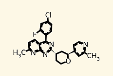 Cc1cc([C@@H]2C[C@@H](c3nc(-c4ccc(Cl)cc4F)c4ccc(C)nc4n3)CCO2)ccn1